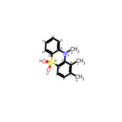 Cc1ccc2c(c1C)N(C)c1ccccc1S2(=O)=O